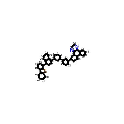 c1cc(-c2cccc(-c3ccc(-c4cccc5c4sc4ccccc45)c4ccccc34)c2)cc(-c2ccc3c4ccccc4c4nccnc4c3c2)c1